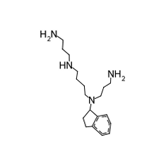 NCCCNCCCCN(CCCN)C1CCc2ccccc21